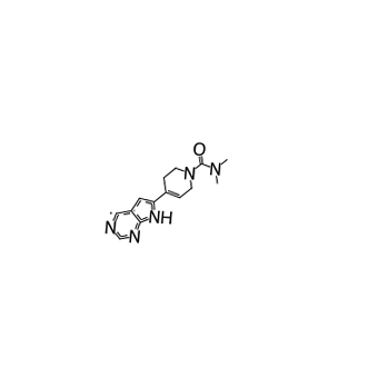 CN(C)C(=O)N1CC=C(c2cc3[c]ncnc3[nH]2)CC1